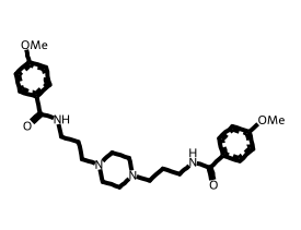 COc1ccc(C(=O)NCCCN2CCN(CCCNC(=O)c3ccc(OC)cc3)CC2)cc1